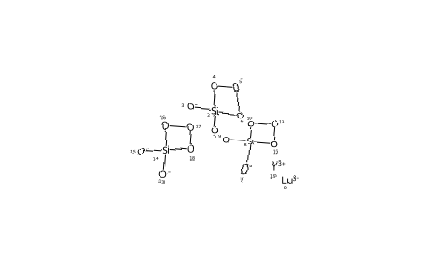 [Lu+3].[O-][Si]1([O-])OOO1.[O-][Si]1([O-])OOO1.[O-][Si]1([O-])OOO1.[Y+3]